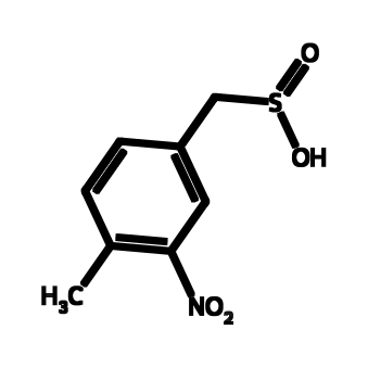 Cc1ccc(CS(=O)O)cc1[N+](=O)[O-]